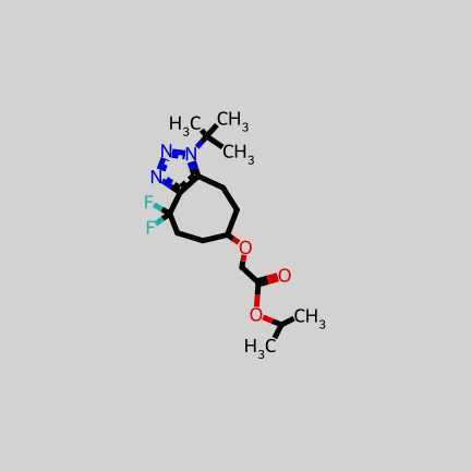 CC(C)OC(=O)COC1CCc2c(nnn2C(C)(C)C)C(F)(F)CC1